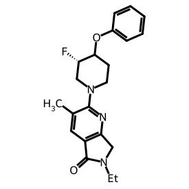 CCN1Cc2nc(N3CCC(Oc4ccccc4)[C@@H](F)C3)c(C)cc2C1=O